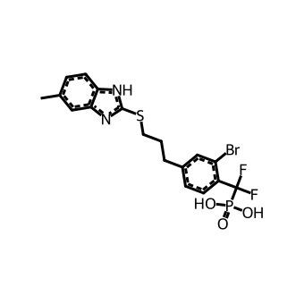 Cc1ccc2[nH]c(SCCCc3ccc(C(F)(F)P(=O)(O)O)c(Br)c3)nc2c1